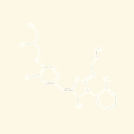 CCC/N=C1\S/C(=C\c2ccc(OCC(O)CO)c(Cl)c2)C(O)N1c1ccccc1C